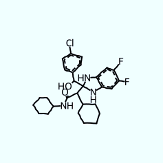 O=C(NC1CCCCC1)C(C1CCCCC1)C1(C(O)c2ccc(Cl)cc2)Nc2cc(F)c(F)cc2N1